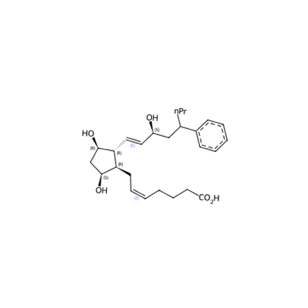 CCCC(C[C@H](O)/C=C/[C@@H]1[C@@H](C/C=C\CCCC(=O)O)[C@@H](O)C[C@H]1O)c1ccccc1